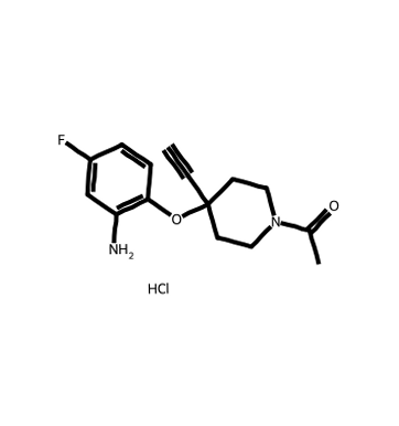 C#CC1(Oc2ccc(F)cc2N)CCN(C(C)=O)CC1.Cl